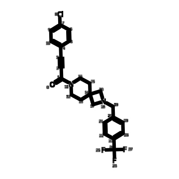 O=C(C#Cc1ccc(Cl)cc1)N1CCC2(CC1)CN(Cc1ccc(C(F)(F)F)cc1)C2